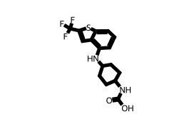 O=C(O)NC1CCC(Nc2cccc3sc(C(F)(F)F)cc23)CC1